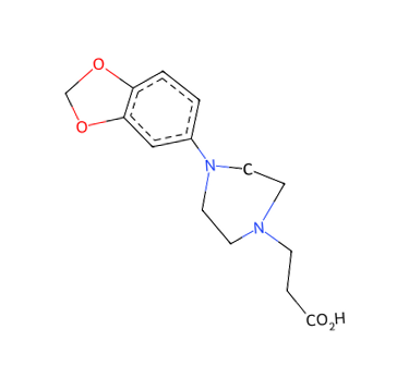 O=C(O)CCN1CCN(c2ccc3c(c2)OCO3)CC1